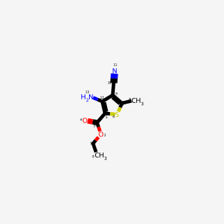 CCOC(=O)c1sc(C)c(C#N)c1N